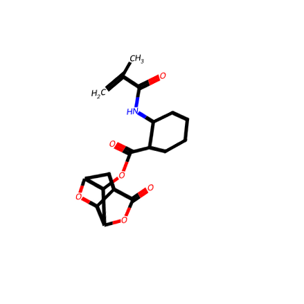 C=C(C)C(=O)NC1CCCCC1C(=O)OC1C2CC3C(=O)OC1C3O2